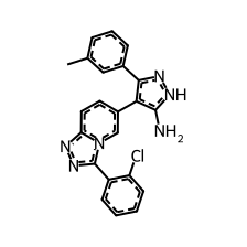 Cc1cccc(-c2n[nH]c(N)c2-c2ccc3nnc(-c4ccccc4Cl)n3c2)c1